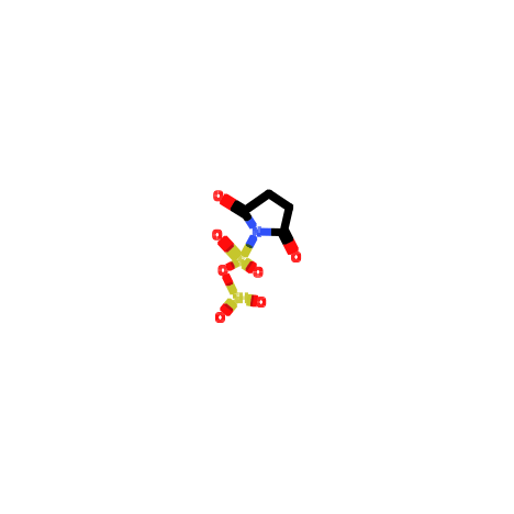 O=C1CCC(=O)N1S(=O)(=O)O[SH](=O)=O